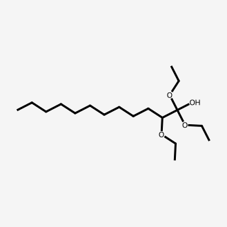 CCCCCCCCCCC(OCC)C(O)(OCC)OCC